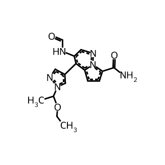 CCOC(C)n1cc(-c2c(NC=O)cnn3c(C(N)=O)ccc23)cn1